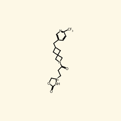 O=C1N[C@H](CCC(=O)N2CC3(CC(Cc4ccc(C(F)(F)F)nc4)C3)C2)CO1